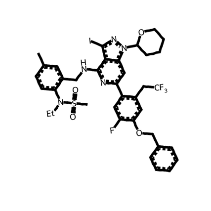 CCN(c1ccc(C)cc1CNc1nc(-c2cc(F)c(OCc3ccccc3)cc2CC(F)(F)F)cc2c1c(I)nn2C1CCCCO1)S(C)(=O)=O